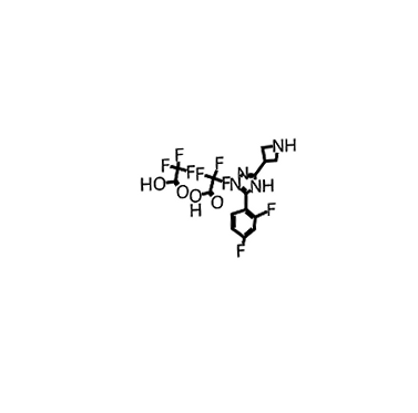 Fc1ccc(-c2nnc(C3CNC3)[nH]2)c(F)c1.O=C(O)C(F)(F)F.O=C(O)C(F)(F)F